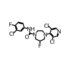 O=C(Nc1ccc(F)c(Cl)c1)N1CCN(c2c(Cl)cncc2Cl)CC(F)C1